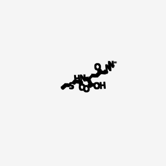 CCSCC(=O)N[C@@H](CCC(=O)C=[N+]=[N-])C(=O)O